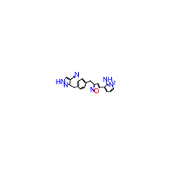 N#Cc1c[nH]nc1Cc1ccc(Cc2cc(-c3cccnc3N)on2)cc1